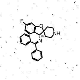 Fc1ccc2c(c1)OC1(CCNCC1)[C@@H]2N=C(c1ccccc1)c1ccccc1